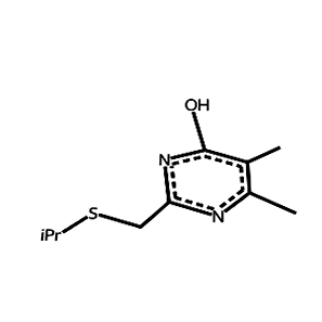 Cc1nc(CSC(C)C)nc(O)c1C